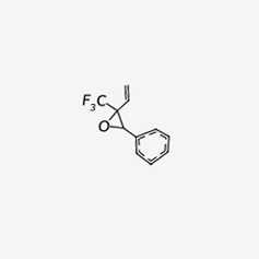 C=CC1(C(F)(F)F)OC1c1ccccc1